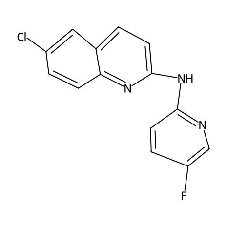 Fc1ccc(Nc2ccc3cc(Cl)ccc3n2)nc1